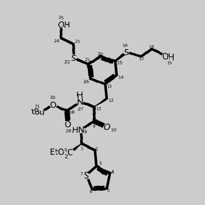 CCOC(=O)[C@H](Cc1cccs1)NC(=O)[C@H](Cc1cc(SCCO)cc(SCCO)c1)NC(=O)OC(C)(C)C